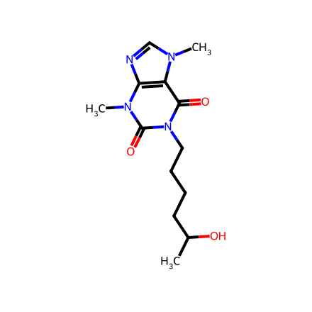 CC(O)CCCCn1c(=O)c2c(ncn2C)n(C)c1=O